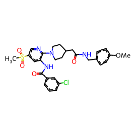 COc1ccc(CNC(=O)CC2CCN(c3ncc(S(C)(=O)=O)cc3NC(=O)c3cccc(Cl)c3)CC2)cc1